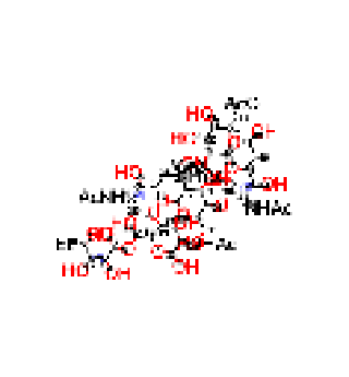 CCC(O)/C(O)=C(/O)C(O)OCC1OC(O)C(NC(C)=O)C(O)C1OC(O)/C(NC(C)=O)=C(/O)C(CCO)OC1OC(CO)C(OC(O)/C(NC(C)=O)=C(/O)C(CCO)OC2OC(COC(C)=O)C(O)C(O)C2NC)C(O)C1NC(C)=O